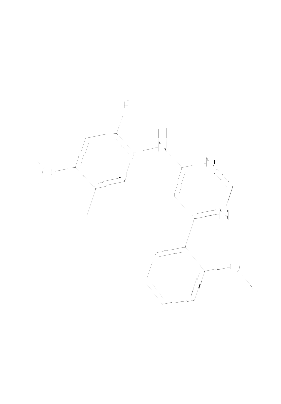 COc1cc(F)c(Nc2cc(-c3ccccc3OC)ncn2)cc1C